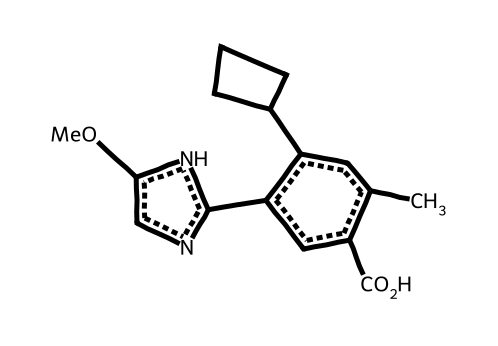 COc1cnc(-c2cc(C(=O)O)c(C)cc2C2CCC2)[nH]1